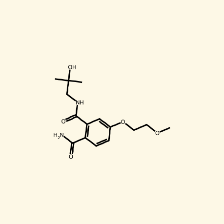 COCCOc1ccc(C(N)=O)c(C(=O)NCC(C)(C)O)c1